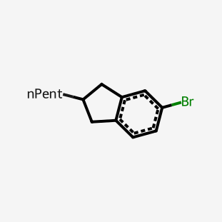 CCCCCC1Cc2ccc(Br)cc2C1